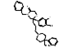 CC(=O)NC1(c2ccccc2)CCN(CCCC2(c3ccc(Cl)c(Cl)c3)CN(Cc3ccccc3)C(=O)CO2)CC1